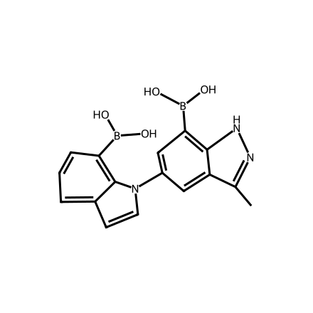 Cc1n[nH]c2c(B(O)O)cc(-n3ccc4cccc(B(O)O)c43)cc12